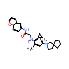 C=C(/C=C(/C)C(=C1CC1)N(I)CC(=O)NC1=CC2C=C=COC2C=C1)N1CCC2(CCCC2)C1